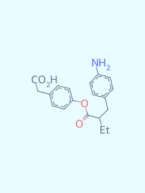 CCC(Cc1ccc(N)cc1)C(=O)Oc1ccc(CC(=O)O)cc1